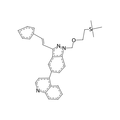 C[Si](C)(C)CCOCn1nc(C=Cc2ccccc2)c2cc(-c3ccnc4ccccc34)ccc21